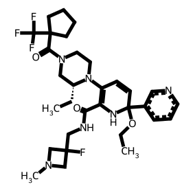 CCOC1(c2cccnc2)C=CC(N2CCN(C(=O)C3(C(F)(F)F)CCCC3)C[C@H]2CC)=C(C(=O)NCC2(F)CN(C)C2)N1